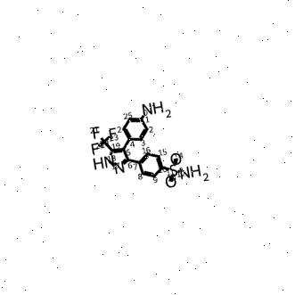 Nc1ccc(-c2c(-c3ccc(S(N)(=O)=O)cc3)n[nH]c2C(F)(F)F)cc1